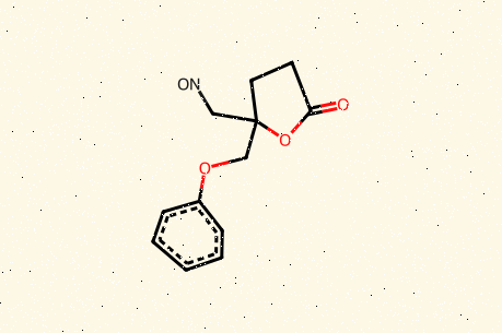 O=NCC1(COc2ccccc2)CCC(=O)O1